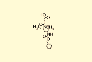 CCC(CC(CC)NC(=O)OCc1ccccc1)NC(=O)CCC(=O)O